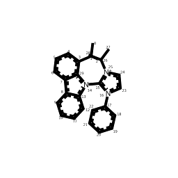 CC(C)c1cccc2c3ccccc3n(-c3n(-c4ccccc4)cc[n+]3C(C)C)c12